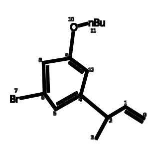 C=C[C](C)c1cc(Br)cc(OCCCC)c1